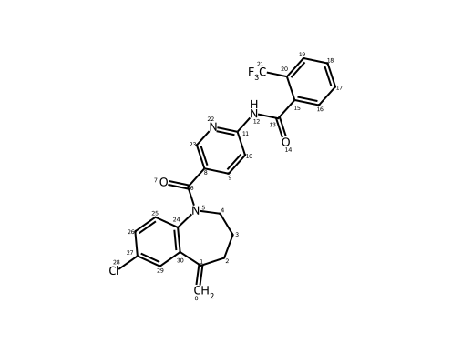 C=C1CCCN(C(=O)c2ccc(NC(=O)c3ccccc3C(F)(F)F)nc2)c2ccc(Cl)cc21